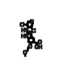 COCCOc1cc2[nH]c(Nc3c(Cl)cncc3Cl)nc2cc1C(=O)O